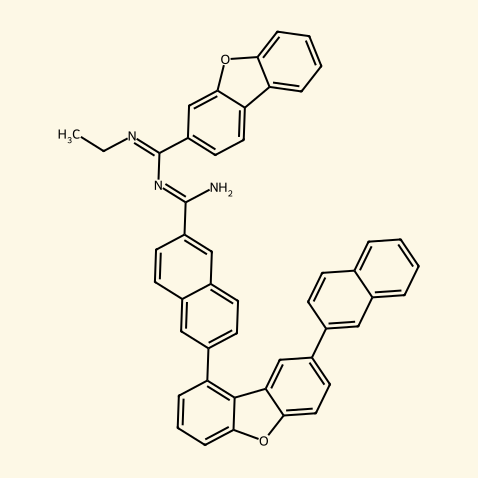 CC/N=C(\N=C(/N)c1ccc2cc(-c3cccc4oc5ccc(-c6ccc7ccccc7c6)cc5c34)ccc2c1)c1ccc2c(c1)oc1ccccc12